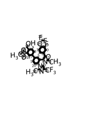 Cc1nc(-c2cc(-c3ccc(CO)c(S(C)(=O)=O)c3)ccc2-n2cc(C(F)(F)F)nc2C)c(-c2ccc(OC(F)F)c(F)c2)o1